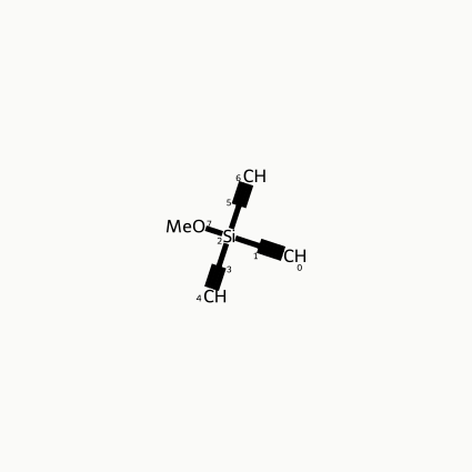 C#C[Si](C#C)(C#C)OC